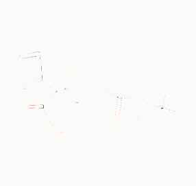 CC(C)(C)OC(=O)NC[C@@](O)(C(=O)O)c1ccsc1